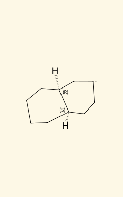 [CH]1CC[C@H]2CCCC[C@H]2C1